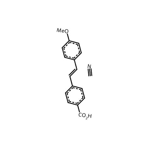 C#N.COc1ccc(C=Cc2ccc(C(=O)O)cc2)cc1